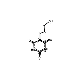 O=c1[nH]c(=O)n(CCCO)c(=O)[nH]1